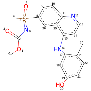 COC(=O)N=S(C)(=O)c1ccc2nccc(Nc3cc(O)ccc3C)c2c1